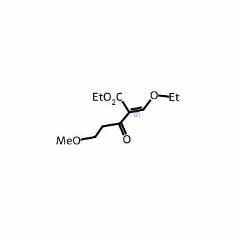 CCO/C=C(/C(=O)CCOC)C(=O)OCC